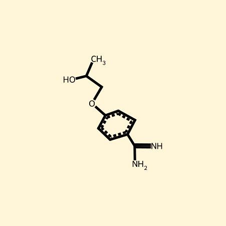 CC(O)COc1ccc(C(=N)N)cc1